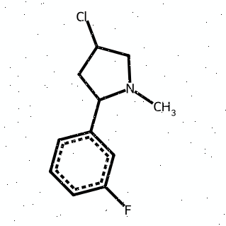 CN1CC(Cl)CC1c1cccc(F)c1